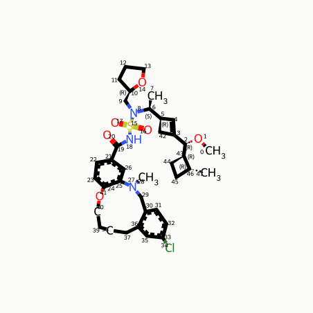 CO[C@@H](C1=C[C@H]([C@H](C)N(C[C@H]2CCCO2)S(=O)(=O)NC(=O)c2ccc3c(c2)N(C)Cc2ccc(Cl)cc2CCCCO3)C1)[C@@H]1CC[C@H]1C